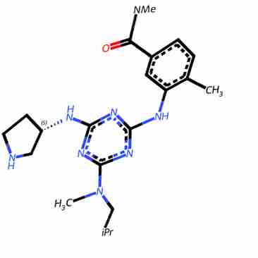 CNC(=O)c1ccc(C)c(Nc2nc(N[C@H]3CCNC3)nc(N(C)CC(C)C)n2)c1